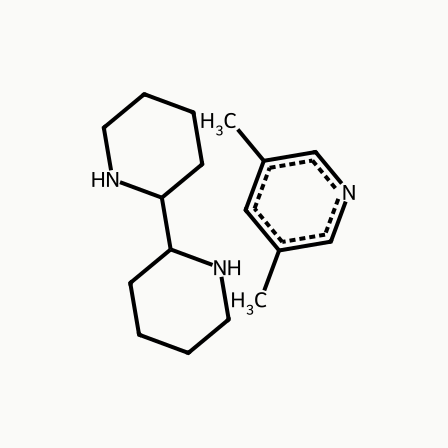 C1CCC(C2CCCCN2)NC1.Cc1cncc(C)c1